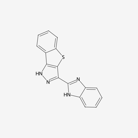 c1ccc2[nH]c(-c3n[nH]c4c3sc3ccccc34)nc2c1